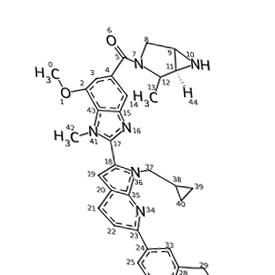 COc1cc(C(=O)N2CC3N[C@H]3C2C)cc2nc(-c3cc4ccc(-c5cccc(CC(N)=O)c5)nc4n3CC3CC3)n(C)c12